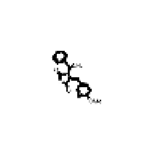 COc1ccc(C=C2C(=O)OC(=O)N2C(C)c2ccccc2)cc1